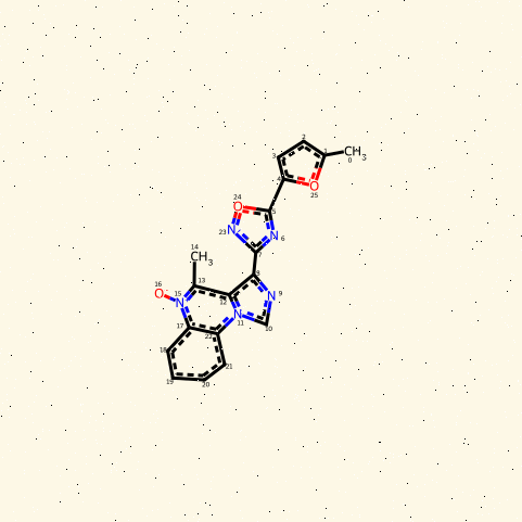 Cc1ccc(-c2nc(-c3ncn4c3c(C)[n+]([O-])c3ccccc34)no2)o1